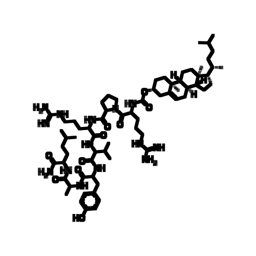 CC(C)CCC(NC(=O)C(C)NC(=O)C(Cc1ccc(O)cc1)NC(=O)C(NC(=O)C(CCCNC(=N)N)NC(=O)C1CCCN1C(=O)C(CCCNC(=N)N)NC(=O)O[C@@H]1CC[C@]2(C)C(=CC[C@@H]3[C@H]4CC[C@@H]([C@@H](C)CCC(C)C)[C@]4(C)CC[C@H]32)C1)C(C)C)C(N)=O